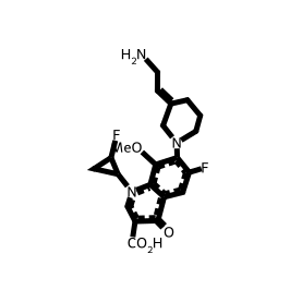 COc1c(N2CCCC(=CCN)C2)c(F)cc2c(=O)c(C(=O)O)cn(C3CC3F)c12